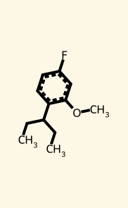 CCC(CC)c1ccc(F)cc1OC